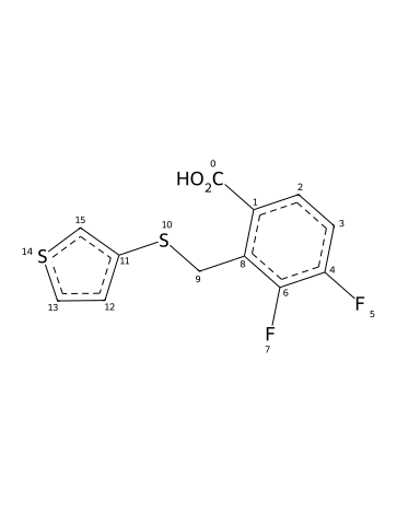 O=C(O)c1ccc(F)c(F)c1CSc1ccsc1